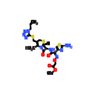 C=CCn1nnnc1SCC1=C(C(=O)O)N2C(=O)C(NC(=O)/C(=N\OCC(=O)OC(C)(C)C)c3csc(N)n3)[C@H]2SC1